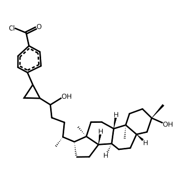 C[C@H](CCC(O)C1CC1c1ccc(C(=O)Cl)cc1)[C@H]1CC[C@H]2[C@@H]3CC[C@H]4C[C@@](C)(O)CC[C@]4(C)[C@H]3CC[C@]12C